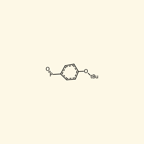 CC(C)(C)Oc1ccc(P=O)cc1